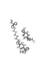 C=CC(=O)OCCCCCCCOc1ccc(C(=O)O)cc1.COc1ccc(N)cc1